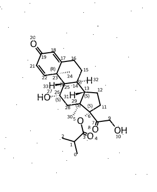 CC(C)C(=O)O[C@@]1(C(=O)CO)CC[C@H]2[C@@H]3CCC4=CC(=O)C=C[C@]4(C)[C@H]3[C@@H](O)C[C@@]21C